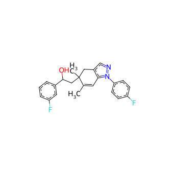 CC1=Cc2c(cnn2-c2ccc(F)cc2)CC1(C)CC(O)c1cccc(F)c1